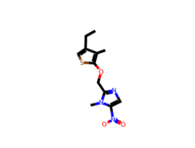 CCc1csc(OCc2ncc([N+](=O)[O-])n2C)c1C